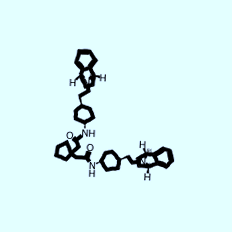 O=C(CC1(CC(=O)N[C@H]2CC[C@H](CCN3[C@@H]4CC[C@H]3c3ccccc34)CC2)CCCC1)N[C@H]1CC[C@H](CCN2[C@@H]3CC[C@H]2c2ccccc23)CC1